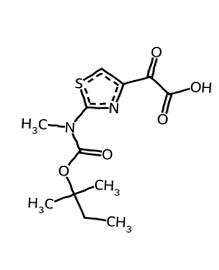 CCC(C)(C)OC(=O)N(C)c1nc(C(=O)C(=O)O)cs1